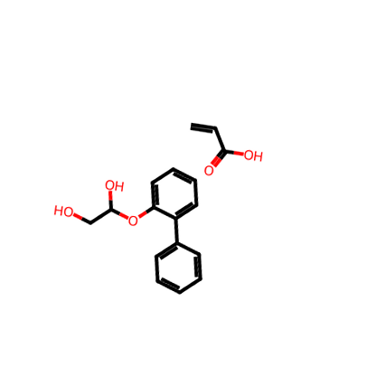 C=CC(=O)O.OCC(O)Oc1ccccc1-c1ccccc1